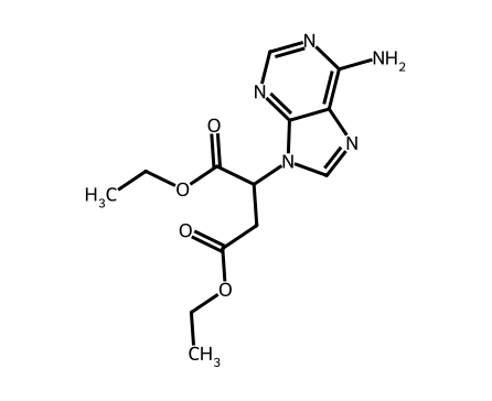 CCOC(=O)CC(C(=O)OCC)n1cnc2c(N)ncnc21